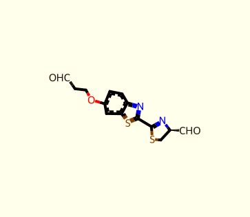 O=CCCOc1ccc2nc(C3=N[C@@H](C=O)CS3)sc2c1